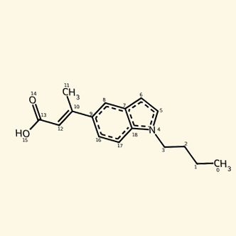 CCCCn1ccc2cc(C(C)=CC(=O)O)ccc21